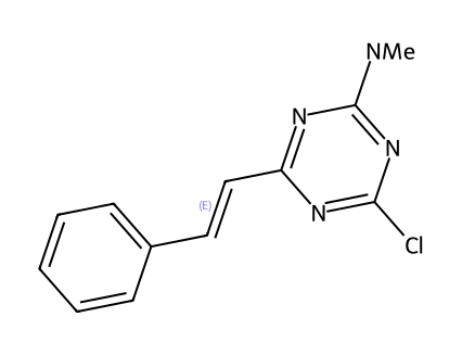 CNc1nc(Cl)nc(/C=C/c2ccccc2)n1